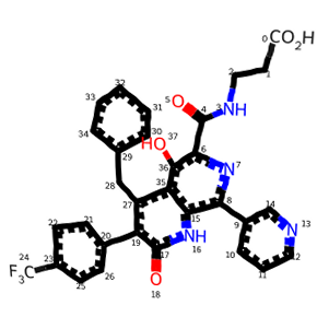 O=C(O)CCNC(=O)c1nc(-c2cccnc2)c2[nH]c(=O)c(-c3ccc(C(F)(F)F)cc3)c(Cc3ccccc3)c2c1O